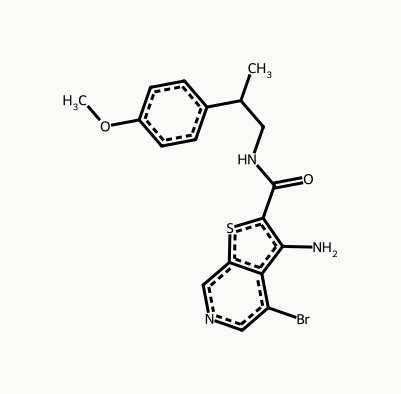 COc1ccc(C(C)CNC(=O)c2sc3cncc(Br)c3c2N)cc1